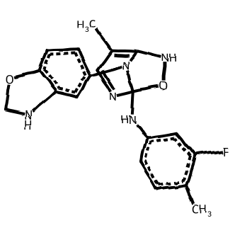 CC1=C2NOC(Nc3ccc(C)c(F)c3)(N=C1)N2c1ccc2c(c1)NCO2